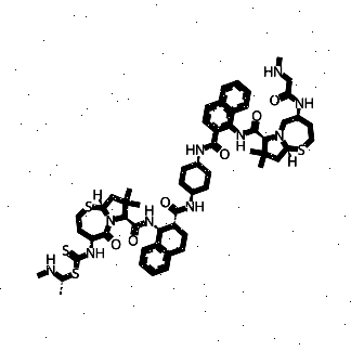 CNCC(=O)N[C@H]1CCS[C@H]2CC(C)(C)[C@@H](C(=O)Nc3c(C(=O)N[C@H]4CC[C@H](NC(=O)[C@@H]5CCc6ccccc6[C@@H]5NC(=O)[C@H]5N6C(=O)[C@@H](NC(=S)S[C@H](C)NC)CCS[C@H]6CC5(C)C)CC4)ccc4ccccc34)N2C1